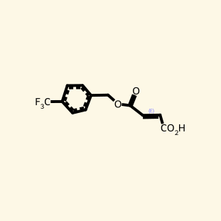 O=C(O)/C=C/C(=O)OCc1ccc(C(F)(F)F)cc1